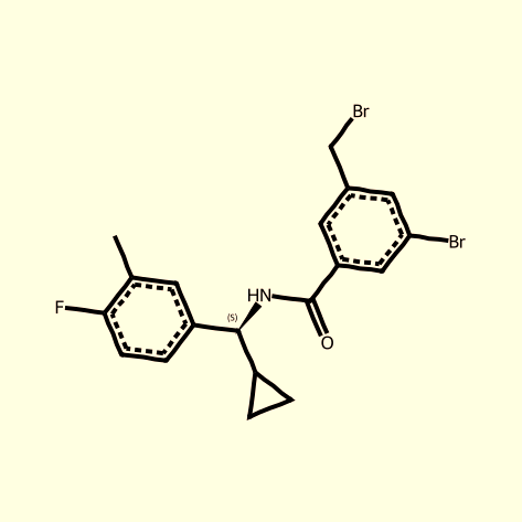 Cc1cc([C@@H](NC(=O)c2cc(Br)cc(CBr)c2)C2CC2)ccc1F